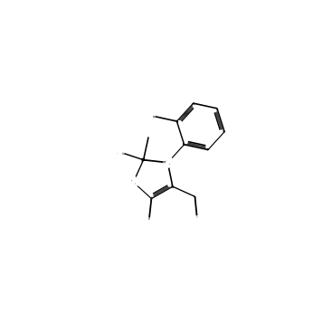 CCCCC1(C)NC(F)=C(CC(=O)O)N1c1ccccc1Cl